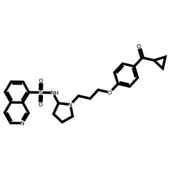 O=C(c1ccc(OCCCN2CCCC2NS(=O)(=O)c2cccc3ccncc23)cc1)C1CC1